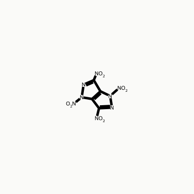 O=[N+]([O-])c1nn([N+](=O)[O-])c2c([N+](=O)[O-])nn([N+](=O)[O-])c12